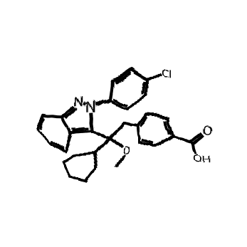 COC(Cc1ccc(C(=O)O)cc1)(c1c2ccccc2nn1-c1ccc(Cl)cc1)C1CCCCC1